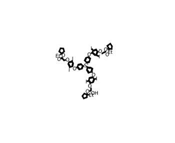 CCC1(OC(=O)COc2cc(I)c(Oc3ccc([S+](c4ccc(Oc5cc(I)c(OCC(=O)OC6(CC)CCCC6)cc5I)cc4)c4ccc(Oc5cc(I)c(OCC(O)OC6(CC)CCCC6)cc5I)cc4)cc3)cc2I)CCCC1